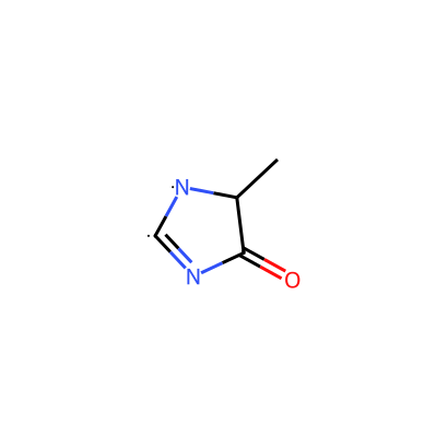 CC1[N][C]=NC1=O